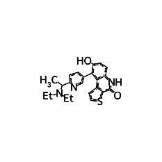 CCN(CC)C(C)c1ccc(-c2c(O)ccc3[nH]c(=O)c4sccc4c23)cn1